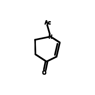 CC(=O)N1C=CC(=O)CC1